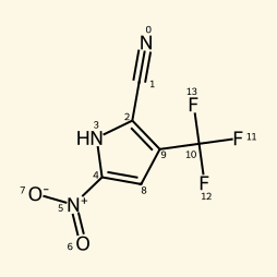 N#Cc1[nH]c([N+](=O)[O-])cc1C(F)(F)F